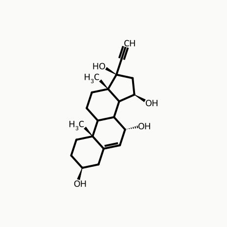 C#C[C@]1(O)C[C@@H](O)C2C3C(CC[C@@]21C)[C@@]1(C)CC[C@H](O)CC1=C[C@H]3O